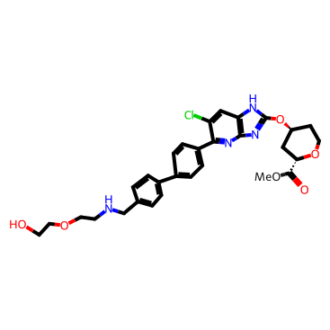 COC(=O)[C@@H]1C[C@@H](Oc2nc3nc(-c4ccc(-c5ccc(CNCCOCCO)cc5)cc4)c(Cl)cc3[nH]2)CCO1